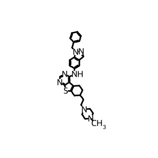 CN1CCN(CCC2CCc3c(sc4ncnc(Nc5ccc6c(cnn6Cc6ccccc6)c5)c34)C2)CC1